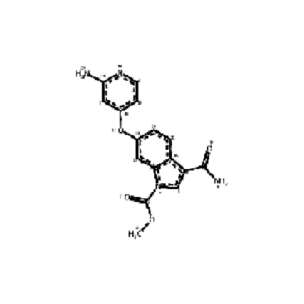 COC(=O)n1cc(C(N)=O)c2ccc(Oc3ccnc(N)c3)cc21